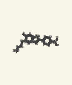 Cc1cc2nc(-c3ccc(N(C)C)cc3)cn2cc1CCC[18F]